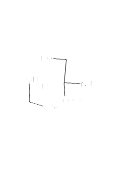 CCCCCCO.[2H][C@@](N)(CO)C(=O)O